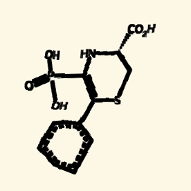 O=C(O)[C@@H]1CSC(c2ccccc2)=C(P(=O)(O)O)N1